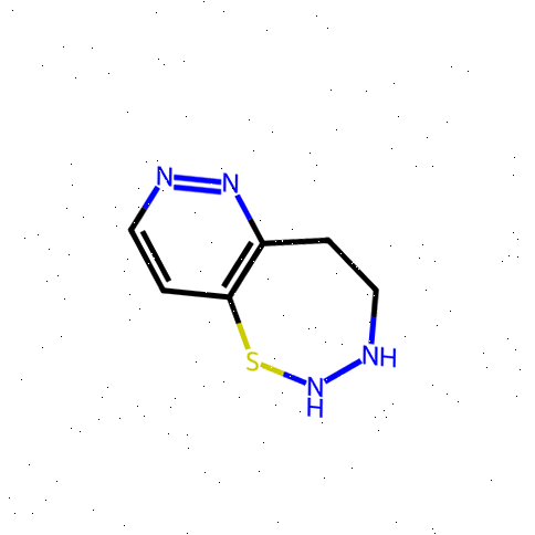 c1cc2c(nn1)CCNNS2